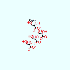 O=C([O-])C(O)CO.O=C([O-])C(O)CO.O=C([O-])C(O)CO.O=C([O-])C(O)CO.[Sn+4]